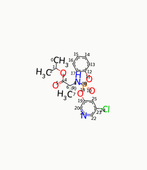 CC(C)OC(=O)[C@@H](C)N[P@](=O)(Oc1ccccc1)Oc1cncc(Cl)c1